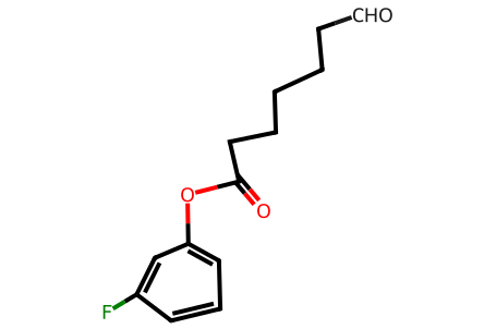 O=CCCCCCC(=O)Oc1cccc(F)c1